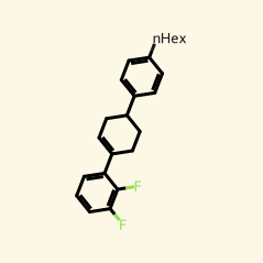 CCCCCCc1ccc(C2CC=C(c3cccc(F)c3F)CC2)cc1